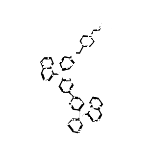 C=CCC1CCC(COc2ccc(N(c3ccc(-c4ccc(N(c5ccccc5)c5cccc6ccccc56)cc4)cc3)c3cccc4ccccc34)cc2)CC1